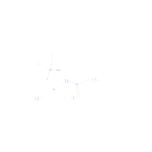 COC(=O)N1CC(F)(F)CC1(C)C(=O)O